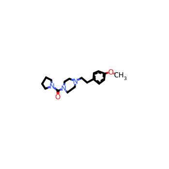 COc1ccc(CCN2CCN(C(=O)N3CCCC3)CC2)cc1